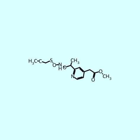 CCCSONOC(C)c1cc(CC(=O)OC)ccn1